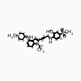 CN1CCC(Nc2cccc3c2cc(C#CCNc2ccc(S(C)(=O)=O)cc2O)n3CC(F)(F)F)CC1